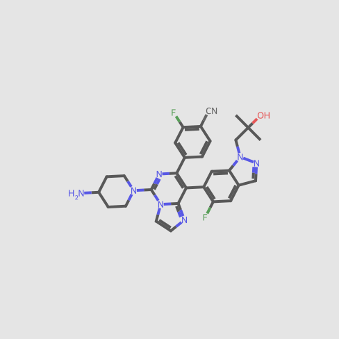 CC(C)(O)Cn1ncc2cc(F)c(-c3c(-c4ccc(C#N)c(F)c4)nc(N4CCC(N)CC4)n4ccnc34)cc21